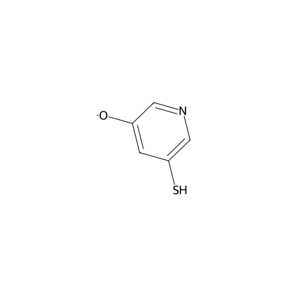 [O]c1cncc(S)c1